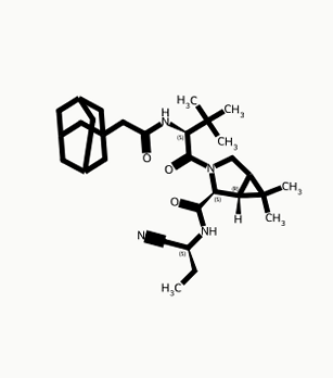 CC[C@@H](C#N)NC(=O)[C@@H]1[C@@H]2C(CN1C(=O)[C@@H](NC(=O)CC13CC4CC(CC(C4)C1)C3)C(C)(C)C)C2(C)C